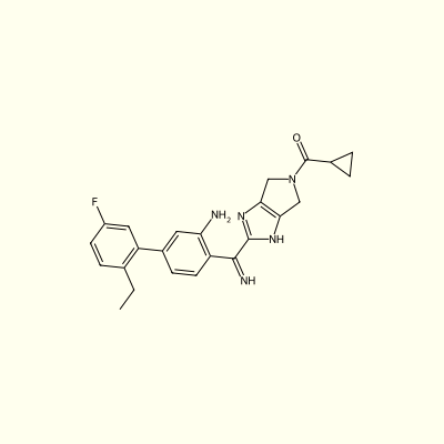 CCc1ccc(F)cc1-c1ccc(C(=N)c2nc3c([nH]2)CN(C(=O)C2CC2)C3)c(N)c1